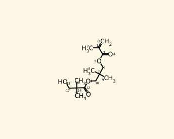 C=C(C)C(=O)OCC(C)(C)COC(=O)C(C)(C)CO